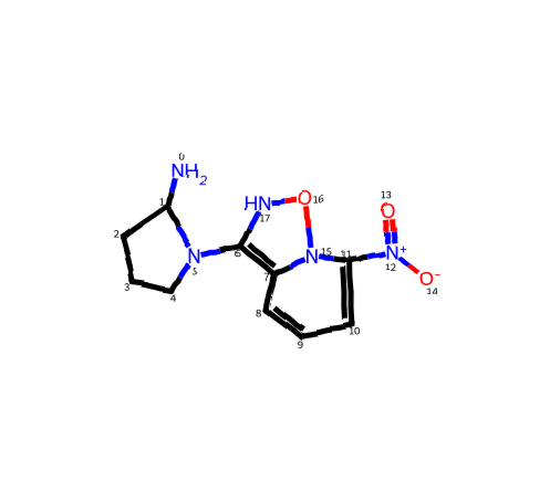 NC1CCCN1C1=C2C=CC=C([N+](=O)[O-])N2ON1